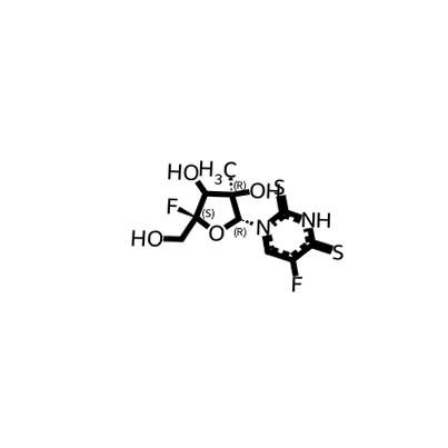 C[C@@]1(O)C(O)[C@@](F)(CO)O[C@H]1n1cc(F)c(=S)[nH]c1=S